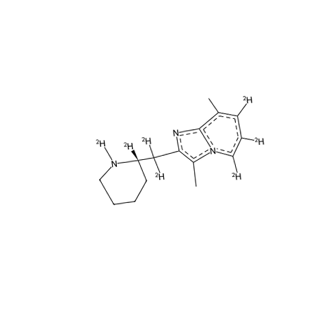 [2H]c1c([2H])c([2H])n2c(C)c(C([2H])([2H])[C@]3([2H])CCCCN3[2H])nc2c1C